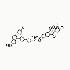 O=C1CC[C@@H](N2C(=O)c3cc4c(cc3C2=O)CN(C(=O)CN2CCC3(CC2)CCN(c2ccc([C@@H]5c6ccc(O)cc6CC[C@@H]5c5ccc(F)cc5)cc2)C3)C4)C(=O)N1